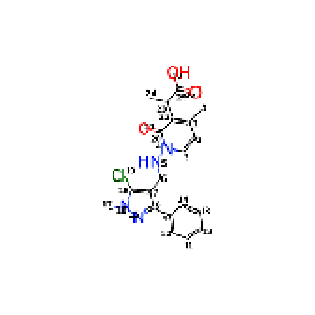 Cc1ccn(NCc2c(-c3ccccc3)nn(C)c2Cl)c(=O)c1C(C)C(=O)O